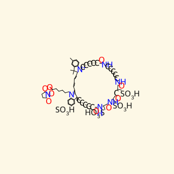 Cc1ccc2c(c1)C(C)(C)C1=[N+]2CCCCCC(=O)NCCCCCNC(=O)C(CS(=O)(=O)O)CC(=O)C(CS(=O)(=O)O)NC(=O)C(CS(=O)(=O)O)NC(=O)CCCCCC2(C)/C(=C/C=C/C=C/1)N(CCCCCC(=O)ON1C(=O)CCC1=O)c1ccc(S(=O)(=O)O)cc12